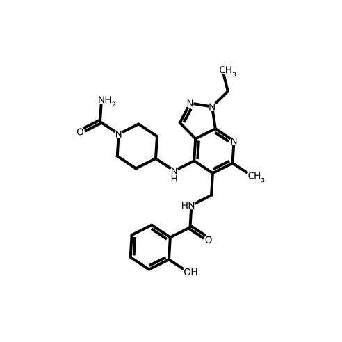 CCn1ncc2c(NC3CCN(C(N)=O)CC3)c(CNC(=O)c3ccccc3O)c(C)nc21